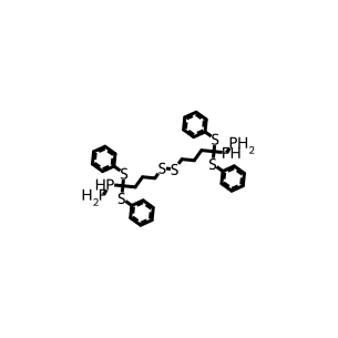 PPC(CCCSSCCCC(PP)(Sc1ccccc1)Sc1ccccc1)(Sc1ccccc1)Sc1ccccc1